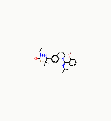 CCN1N=C(c2ccc3c(c2)CCCN3C(=NC(C)C)c2ccccc2OC)C(C)(C)SC1=O